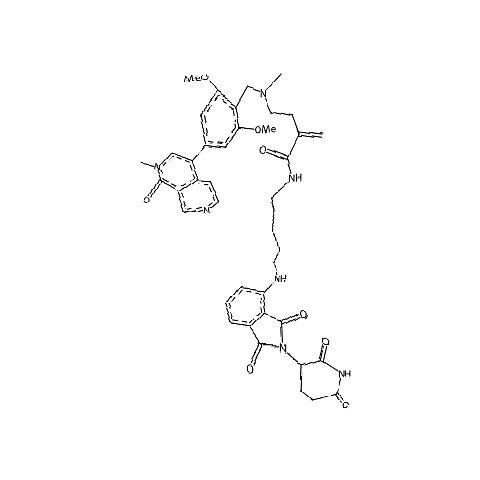 C=C(CCN(C)Cc1c(OC)cc(-c2cn(C)c(=O)c3cnccc23)cc1OC)C(=O)NCCCCCNc1cccc2c1C(=O)N(C1CCC(=O)NC1=O)C2=O